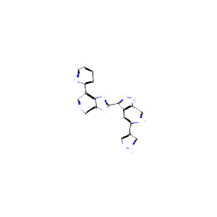 c1ccc(-c2cncc3[nH]c(-c4n[nH]c5cnc(-c6cn[nH]c6)cc45)nc23)nc1